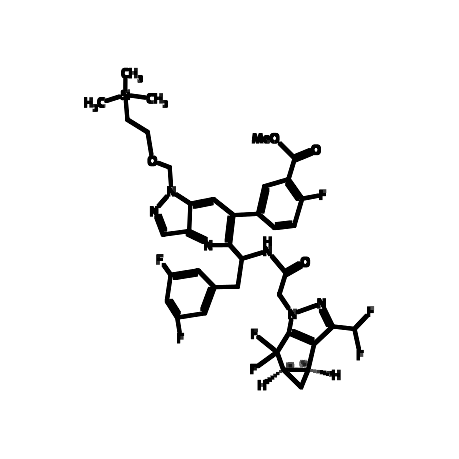 COC(=O)c1cc(-c2cc3c(cnn3COCC[Si](C)(C)C)nc2C(Cc2cc(F)cc(F)c2)NC(=O)Cn2nc(C(F)F)c3c2C(F)(F)[C@@H]2C[C@H]32)ccc1F